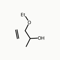 C=C.CCOCC(C)O